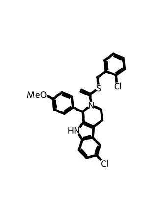 C=C(SCc1ccccc1Cl)N1CCc2c([nH]c3ccc(Cl)cc23)C1c1ccc(OC)cc1